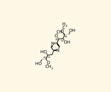 CO[C@H](c1cnc(C[C@H](O)[C@@H](CO)OC)cn1)[C@H](O)[C@@H](CO)OC